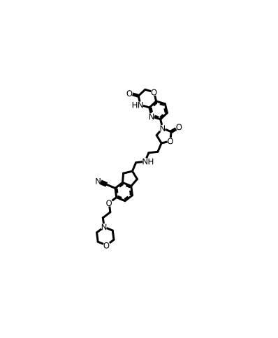 N#Cc1c(OCCN2CCOCC2)ccc2c1CC(CNCCC1CN(c3ccc4c(n3)NC(=O)CO4)C(=O)O1)C2